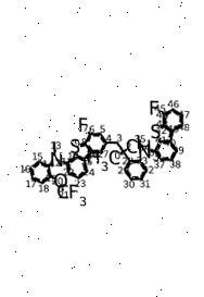 CC(C)(Cc1cc(F)c2sc3c(N(I)c4ccccc4OC(F)(F)F)cccc3c2c1)c1ccccc1N(I)c1cccc2c1sc1c(F)cccc12